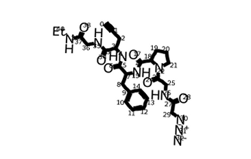 C#CCC(NC(=O)C(Cc1ccccc1)NC(=O)C1CCCN1C(=O)CNC(=O)CN=[N+]=[N-])C(=O)NCC(=O)NCC